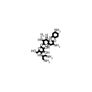 CNC1C(OC2OC(CO)C(NC(CN)CN)C(O)C2O)O[C@H]2C[C@H](N)C(O[C@H]3CC[C@H](N)CC3N)OC2C1O